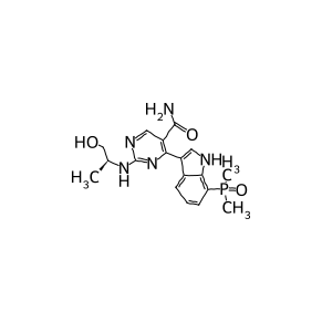 C[C@@H](CO)Nc1ncc(C(N)=O)c(-c2c[nH]c3c(P(C)(C)=O)cccc23)n1